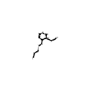 CCCCCc1ccccc1CC